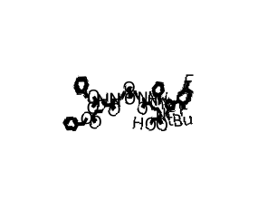 CC(C)(C)[C@H](c1cc(-c2cc(F)ccc2F)cn1Cc1ccccc1)N(CC[C@H](N)C(=O)NCCS(=O)(=O)CCNC(=O)[C@@H](CCC(=O)OCc1ccccc1)NC(=O)OCc1ccccc1)C(=O)CO